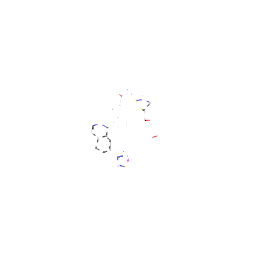 CCN(C(=O)C1CC(Nc2nccc3ccc(-c4noc(C)n4)cc23)C1)c1nc(C)c(C(=O)O)s1.O=CO